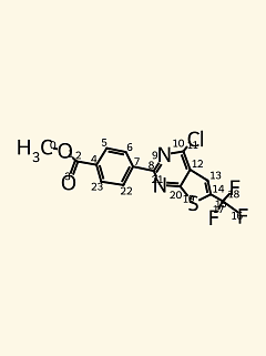 COC(=O)c1ccc(-c2nc(Cl)c3cc(C(F)(F)F)sc3n2)cc1